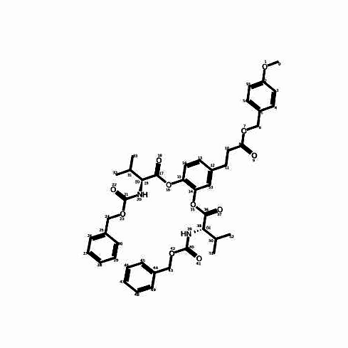 COc1ccc(COC(=O)CCc2ccc(OC(=O)[C@@H](NC(=O)OCc3ccccc3)C(C)C)c(OC(=O)[C@@H](NC(=O)OCc3ccccc3)C(C)C)c2)cc1